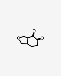 O=C1CCC2COCC2C1=O